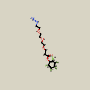 [N-]=[N+]=NCCOCCOCCOCCC(=O)Oc1c(F)c(F)c(F)c(F)c1F